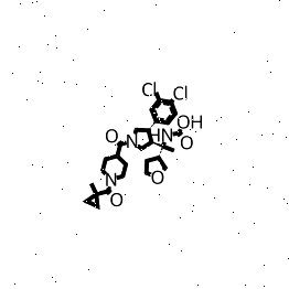 CC1(C(=O)N2CCC(C(=O)N3C[C@H](c4ccc(Cl)c(Cl)c4)[C@@H](C(C)(NC(=O)O)[C@H]4CCOC4)C3)CC2)CC1